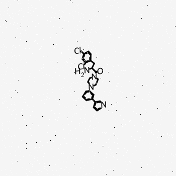 NC(Cc1ccc(Cl)cc1Cl)C(=O)N1CCN(c2cccc(-c3cccnc3)c2)CC1